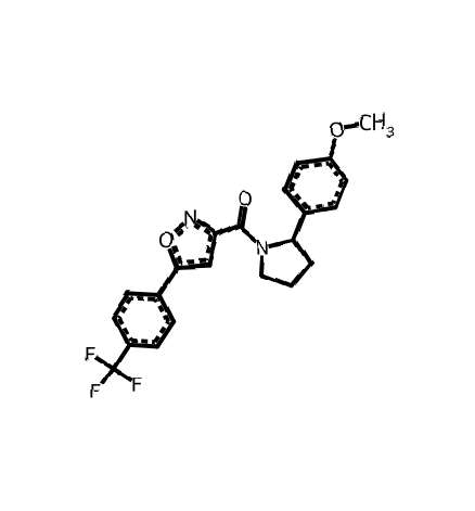 COc1ccc(C2CCCN2C(=O)c2cc(-c3ccc(C(F)(F)F)cc3)on2)cc1